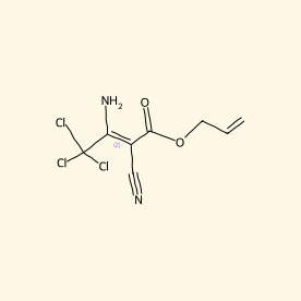 C=CCOC(=O)/C(C#N)=C(\N)C(Cl)(Cl)Cl